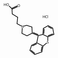 Cl.O=C(O)CCCN1CCC(=C2c3ccccc3Sc3ccccc32)CC1